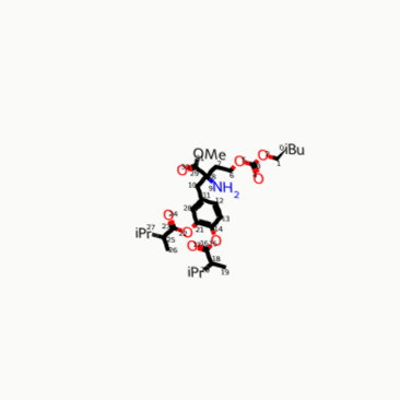 CC[C@H](C)COC(=O)OCCC(N)(Cc1ccc(OC(=O)C(C)C(C)C)c(OC(=O)C(C)C(C)C)c1)C(=O)OC